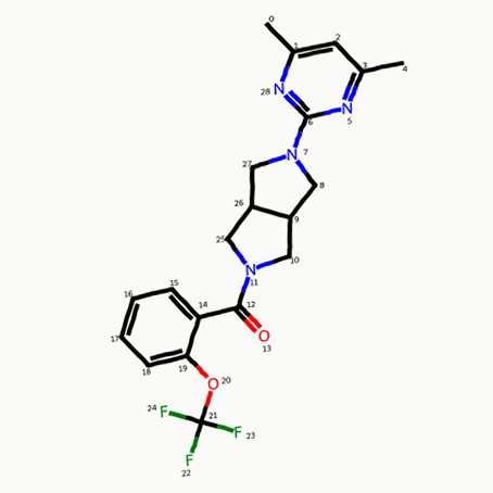 Cc1cc(C)nc(N2CC3CN(C(=O)c4ccccc4OC(F)(F)F)CC3C2)n1